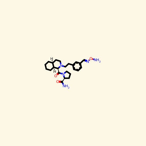 NON=Cc1cccc(CCN2CC[C@@H]3CCCC[C@@H]3[C@@H]2C(=O)N2CCC[C@H]2C(N)=O)c1